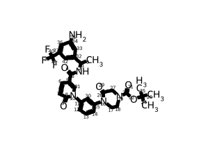 CC(NC(=O)c1ccc(=O)n(-c2cccc(N3CCN(C(=O)OC(C)(C)C)CC3=O)c2)c1)c1cc(N)cc(C(F)(F)F)c1